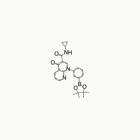 CC1(C)OB(c2cccc(-n3cc(C(=O)NC4CC4)c(=O)c4cccnc43)c2)OC1(C)C